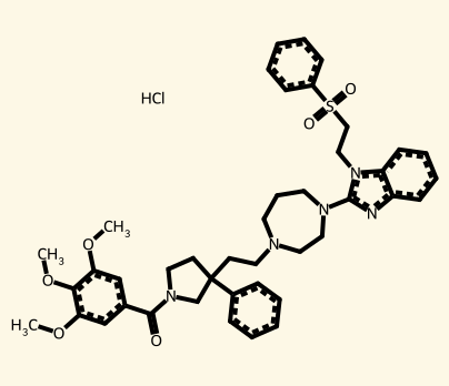 COc1cc(C(=O)N2CCC(CCN3CCCN(c4nc5ccccc5n4CCS(=O)(=O)c4ccccc4)CC3)(c3ccccc3)C2)cc(OC)c1OC.Cl